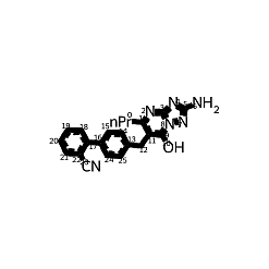 CCCc1nc2nc(N)nn2c(O)c1Cc1ccc(-c2ccccc2C#N)cc1